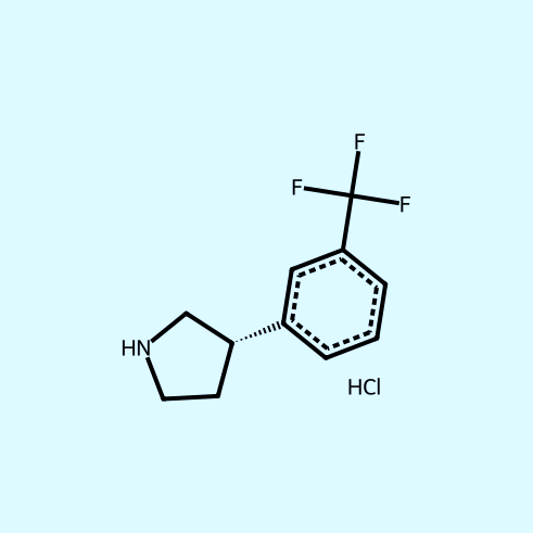 Cl.FC(F)(F)c1cccc([C@@H]2CCNC2)c1